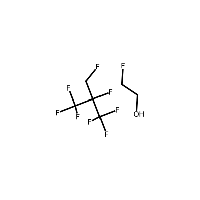 FCC(F)(C(F)(F)F)C(F)(F)F.OCCF